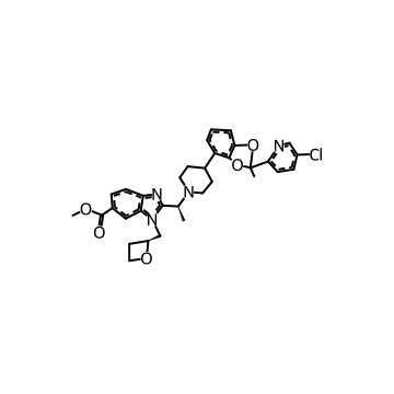 COC(=O)c1ccc2nc([C@H](C)N3CCC(c4cccc5c4OC(C)(c4ccc(Cl)cn4)O5)CC3)n(C[C@@H]3CCO3)c2c1